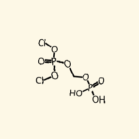 O=P(O)(O)OCOP(=O)(OCl)OCl